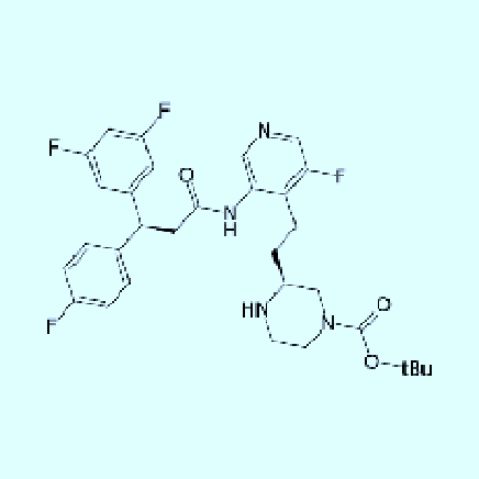 CC(C)(C)OC(=O)N1CCN[C@@H](CCc2c(F)cncc2NC(=O)C[C@@H](c2ccc(F)cc2)c2cc(F)cc(F)c2)C1